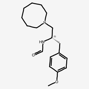 COc1ccc(C[C@@H](CN2CCCCCCC2)NC=O)cc1